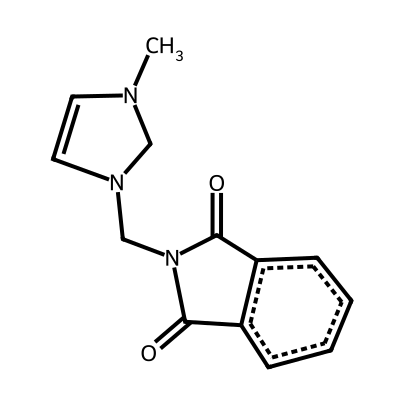 CN1C=CN(CN2C(=O)c3ccccc3C2=O)C1